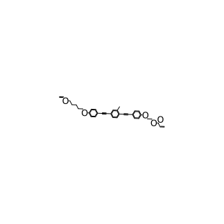 C=COCCCCCOc1ccc(C#Cc2ccc(C#Cc3ccc(OCCOC(=O)C=C)cc3)c(C)c2)cc1